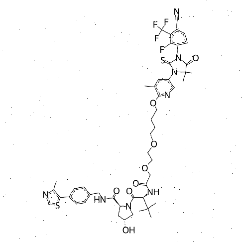 Cc1cc(N2C(=S)N(c3ccc(C#N)c(C(F)(F)F)c3F)C(=O)C2(C)C)cnc1OCCCCOCCOCC(=O)N[C@H](C(=O)N1C[C@H](O)C[C@H]1C(=O)NCc1ccc(-c2scnc2C)cc1)C(C)(C)C